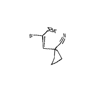 N#CC1(C=C(Br)Br)CC1